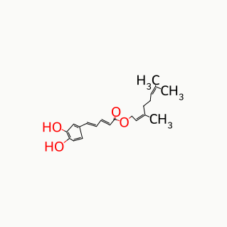 CC(C)=CCCC(C)=CCOC(=O)C=CC=Cc1ccc(O)c(O)c1